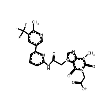 Cc1ncc(-c2cccc(NC(=O)Cn3cnc4c3c(=O)n(CC(=O)O)c(=O)n4C)n2)cc1C(F)(F)F